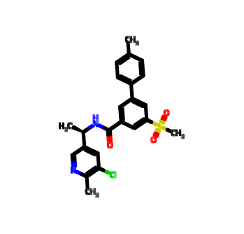 Cc1ccc(-c2cc(C(=O)N[C@H](C)c3cnc(C)c(Cl)c3)cc(S(C)(=O)=O)c2)cc1